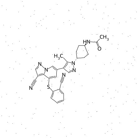 CC(=O)N[C@H]1CC[C@H](n2ncc(-c3cc(Sc4ccccc4C#N)c4c(C#N)cnn4c3)c2C)CC1